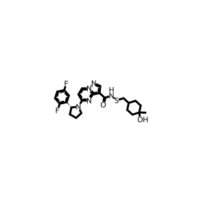 CC1(O)CCC(CSNC(=O)c2cnn3ccc(N4CCC[C@@H]4c4cc(F)ccc4F)nc23)CC1